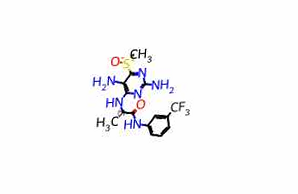 C[C@H](Nc1nc(N)nc([S+](C)[O-])c1N)C(=O)Nc1cccc(C(F)(F)F)c1